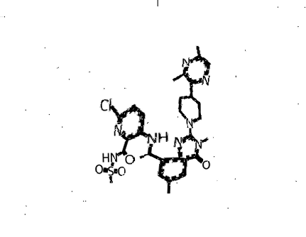 Cc1cc([C@@H](C)Nc2ccc(Cl)nc2C(=O)NS(C)(=O)=O)c2nc(N3CCC(c4ncc(C)nc4C)CC3)n(C)c(=O)c2c1